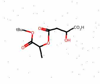 CC(OC(=O)CC(O)C(=O)O)C(=O)OC(C)(C)C